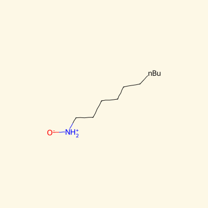 CCCCCCCCCC[NH2+][O-]